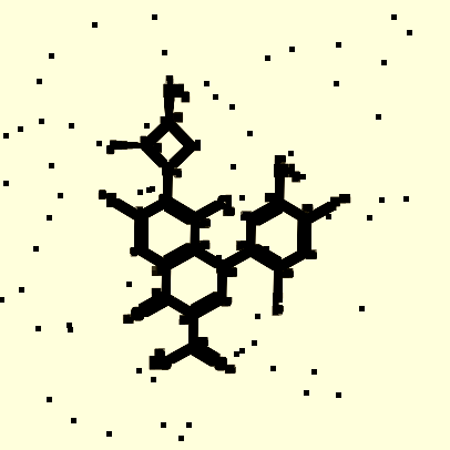 C[C@@H]1[C@@H](N)CN1c1c(F)cc2c(=O)c(C(=O)O)cn(-c3cc(N)c(F)cc3F)c2c1Cl